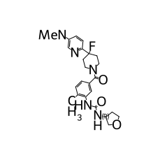 CNc1ccc(C2(F)CCN(C(=O)c3ccc(C)c(NC(=O)N[C@@H]4CCOC4)c3)CC2)nc1